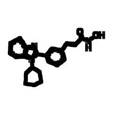 O=C(C=Cc1cccc(-c2nc3ccccc3n2C2CCCCC2)c1)NO